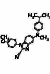 COc1ccc(-n2c(C#N)nc3cc(N(C)c4ccc(C(C)C)cc4)ccc32)cc1